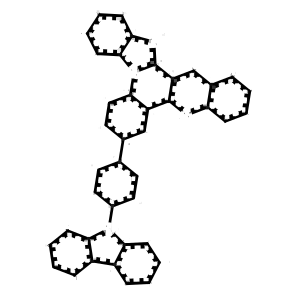 c1ccc2nc3c4cc(-c5ccc(-n6c7ccccc7c7ccccc76)cc5)ccc4n4c5ccccc5nc4c3cc2c1